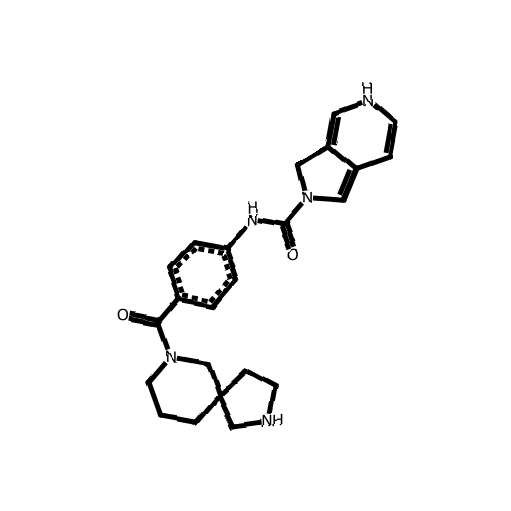 O=C(Nc1ccc(C(=O)N2CCCC3(CCNC3)C2)cc1)N1C=C2C=CNC=C2C1